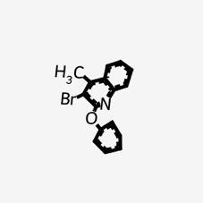 Cc1c(Br)c(Oc2ccccc2)nc2ccccc12